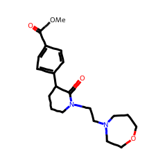 COC(=O)c1ccc(C2CCCN(CCN3CCCOCC3)C2=O)cc1